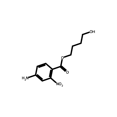 Nc1ccc(C(=O)OCCCCO)c([N+](=O)[O-])c1